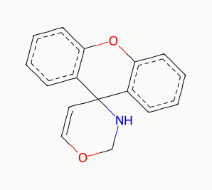 C1=CC2(NCO1)c1ccccc1Oc1ccccc12